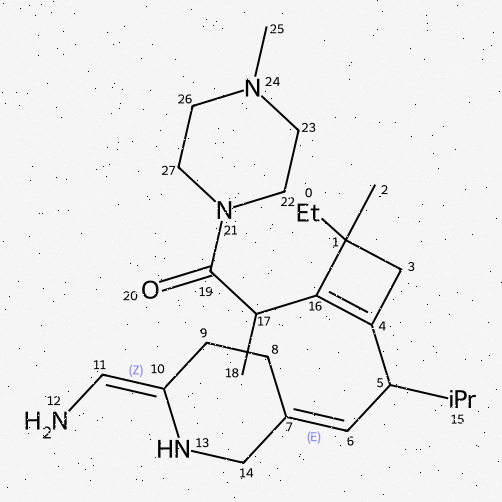 CCC1(C)CC(C(/C=C2\CC/C(=C/N)NC2)C(C)C)=C1C(C)C(=O)N1CCN(C)CC1